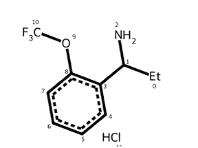 CCC(N)c1ccccc1OC(F)(F)F.Cl